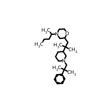 CCCC(C)N1CCOC(CC(C)(C)C2CCCN(CC(C)(C)c3ccccc3)C2)C1